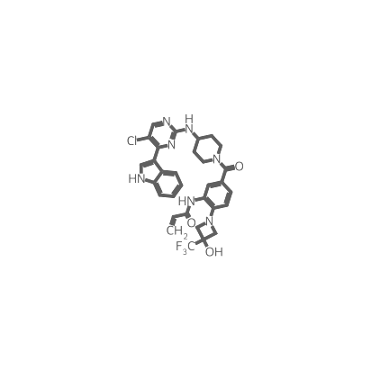 C=CC(=O)Nc1cc(C(=O)N2CCC(Nc3ncc(Cl)c(-c4c[nH]c5ccccc45)n3)CC2)ccc1N1CC(O)(C(F)(F)F)C1